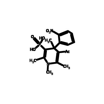 CC(=O)C1=C(C)N(C)C(C)=C(P(=O)(O)O)C1(C)c1ccccc1[N+](=O)[O-]